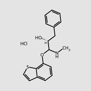 CNC(Oc1cccc2ccsc12)[C@H](O)Cc1ccccc1.Cl